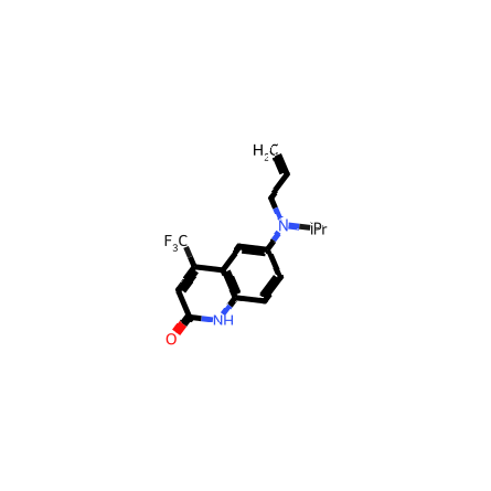 C=CCN(c1ccc2[nH]c(=O)cc(C(F)(F)F)c2c1)C(C)C